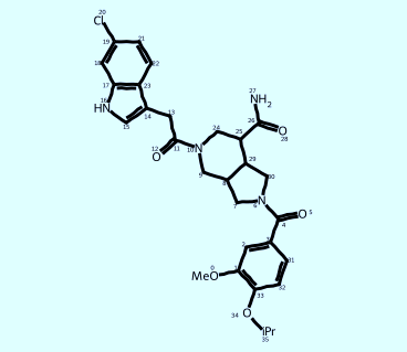 COc1cc(C(=O)N2CC3CN(C(=O)Cc4c[nH]c5cc(Cl)ccc45)CC(C(N)=O)C3C2)ccc1OC(C)C